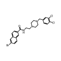 O=C(NCCN1CCN(Cc2ccc(Cl)c(Cl)c2)CC1)c1ccc2cc(Br)ccc2c1